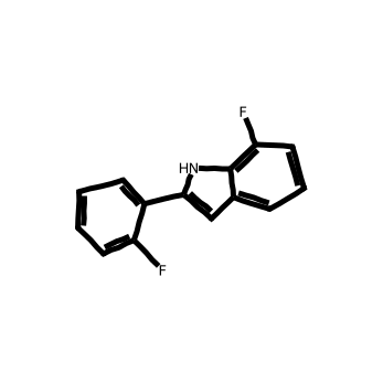 Fc1ccccc1-c1cc2cccc(F)c2[nH]1